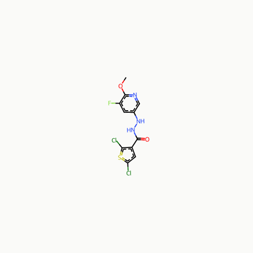 COc1ncc(NNC(=O)c2cc(Cl)sc2Cl)cc1F